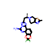 Cc1nc2c(s1)CN([C@H](C)Cc1nc3c4ccc5c(c4nc(N)n3n1)OC(F)(F)O5)CC2